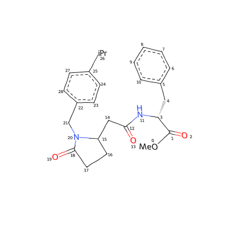 COC(=O)[C@@H](Cc1ccccc1)NC(=O)CC1CCC(=O)N1Cc1ccc(C(C)C)cc1